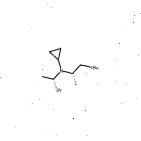 CC(C)[C@H](C)N(C1CC1)[C@@H](C)CC(C)(C)C